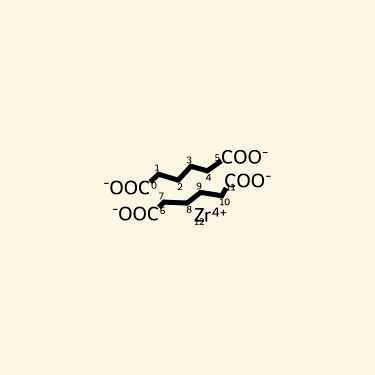 O=C([O-])CCCCC(=O)[O-].O=C([O-])CCCCC(=O)[O-].[Zr+4]